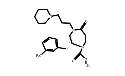 CC(C)(C)OC(=O)N1CCC(=O)N(CCCN2CCCCC2)C[C@H]1Cc1cccc(C(F)(F)F)c1